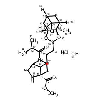 COC(=O)[C@]12CCN(C(=O)[C@H](C)N)C(CN1)C2CCCB1O[C@@H]2C[C@@H]3C[C@@H](C3(C)C)[C@]2(C)O1.Cl.Cl